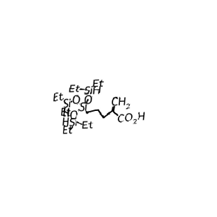 C=C(CCC[Si](O[SiH](CC)CC)(O[SiH](CC)CC)O[SiH](CC)CC)C(=O)O